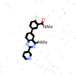 CNC(=O)c1cc(-c2ccc3nc(-c4cccnc4)nc(NC)c3c2)ccc1F